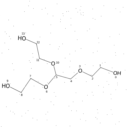 OCCOCC(OCCO)OCCO